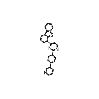 c1cncc(-c2ccc(-c3nccc(-c4cccc5c4sc4ccccc45)n3)cc2)c1